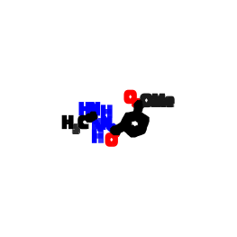 COC(=O)c1cccc(C(=O)NNC(C)=N)c1